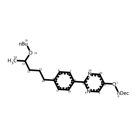 CCCCCCCCCCOc1cnc(-c2ccc(CCCC(C)OCCCC)cc2)nc1